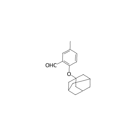 Cc1ccc(OC23CC4CC(CC(C4)C2)C3)c(C=O)c1